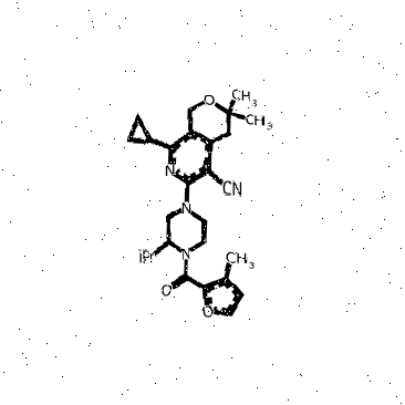 Cc1ccoc1C(=O)N1CCN(c2nc(C3CC3)c3c(c2C#N)CC(C)(C)OC3)CC1C(C)C